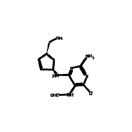 Nc1nc(Cl)c(NC=O)c(N[C@H]2C=C[C@H](CO)C2)n1